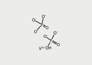 O=P([O-])([O-])O.O=P([O-])([O-])[O-].[V+5]